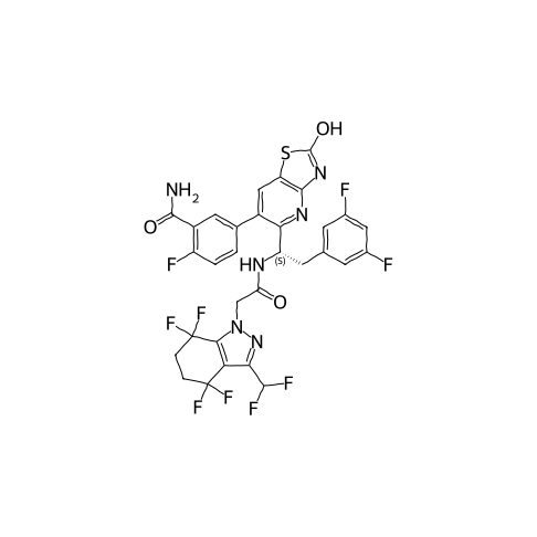 NC(=O)c1cc(-c2cc3sc(O)nc3nc2[C@H](Cc2cc(F)cc(F)c2)NC(=O)Cn2nc(C(F)F)c3c2C(F)(F)CCC3(F)F)ccc1F